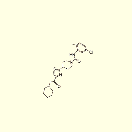 Cc1ccc(Cl)cc1NC(=O)N1CCC(c2nc(C(=O)CC3CCCCC3)cs2)CC1